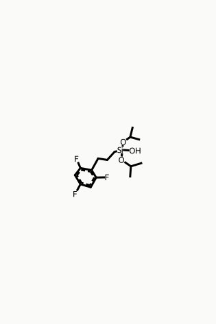 CC(C)O[Si](O)(CCCc1c(F)cc(F)cc1F)OC(C)C